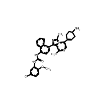 COc1ccc(Cl)cc1NC(=O)Nc1ccc(-c2nc(C)n3c(C4=CCC(N)CC4)cnc(N)c23)c2ccccc12